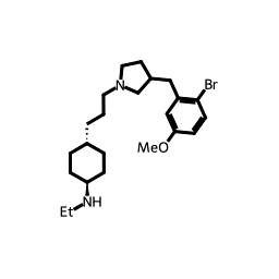 CCN[C@H]1CC[C@H](CCCN2CCC(Cc3cc(OC)ccc3Br)C2)CC1